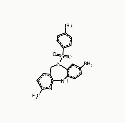 Bc1ccc2c(c1)N(S(=O)(=O)c1ccc(C(C)(C)C)cc1)Cc1ccc(C(F)(F)F)nc1N2